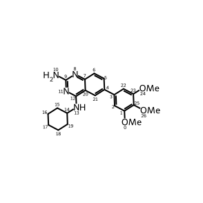 COc1cc(-c2ccc3nc(N)nc(NC4CCCCC4)c3c2)cc(OC)c1OC